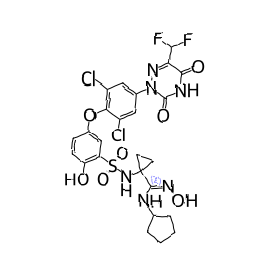 O=c1[nH]c(=O)n(-c2cc(Cl)c(Oc3ccc(O)c(S(=O)(=O)NC4(/C(=N/O)NC5CCCC5)CC4)c3)c(Cl)c2)nc1C(F)F